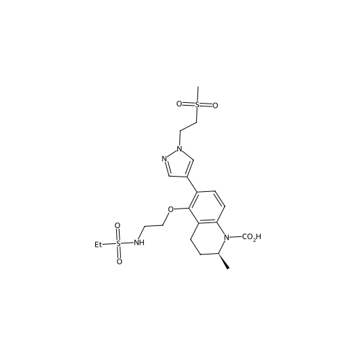 CCS(=O)(=O)NCCOc1c(-c2cnn(CCS(C)(=O)=O)c2)ccc2c1CC[C@H](C)N2C(=O)O